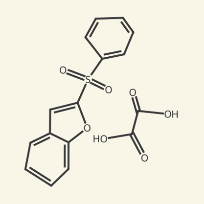 O=C(O)C(=O)O.O=S(=O)(c1ccccc1)c1cc2ccccc2o1